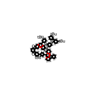 CC(C)(C)c1ccc(N2c3cc(-n4c5ccccc5c5ccccc54)ccc3B3c4ccc(-n5c6ccc(C(C)(C)C)cc6c6cc(C(C)(C)C)ccc65)cc4N(c4ccc(C(C)(C)C)cc4-c4ccccc4)c4cc(-c5ccc6oc7ccc8oc9ccccc9c8c7c6c5)cc2c43)c(-c2ccccc2)c1